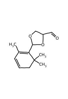 CC1=C(C2OCC(C=O)O2)C(C)(C)CC=C1